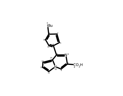 CC(C)(C)c1ccc(-c2nc(C(=O)O)cn3cccc23)cc1